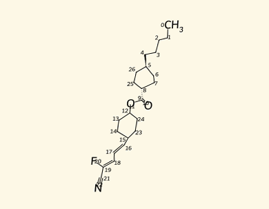 CCCCC[C@H]1CC[C@H](C(=O)OC2CCC(/C=C/C=C(F)C#N)CC2)CC1